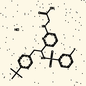 CC(C)(C)c1ccc(CC(NS(=O)(=O)c2cccc(F)c2)c2cccc(NCC(=O)O)n2)cc1.Cl